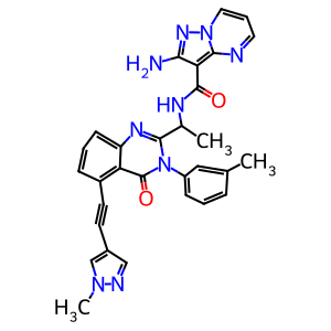 Cc1cccc(-n2c(C(C)NC(=O)c3c(N)nn4cccnc34)nc3cccc(C#Cc4cnn(C)c4)c3c2=O)c1